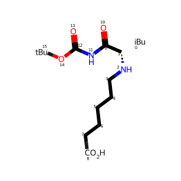 CC[C@H](C)[C@H](NCCCCCC(=O)O)C(=O)NC(=O)OC(C)(C)C